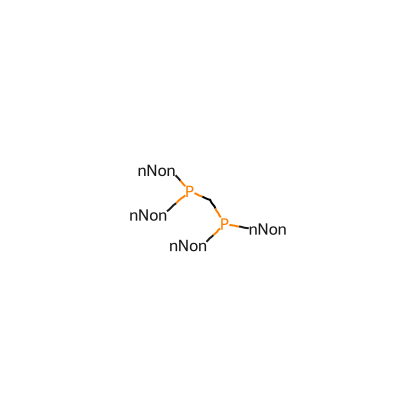 CCCCCCCCCP(CCCCCCCCC)CP(CCCCCCCCC)CCCCCCCCC